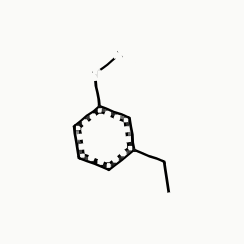 CCc1cccc(NN)c1